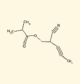 CC#CC(C#N)COC(=O)C(C)C